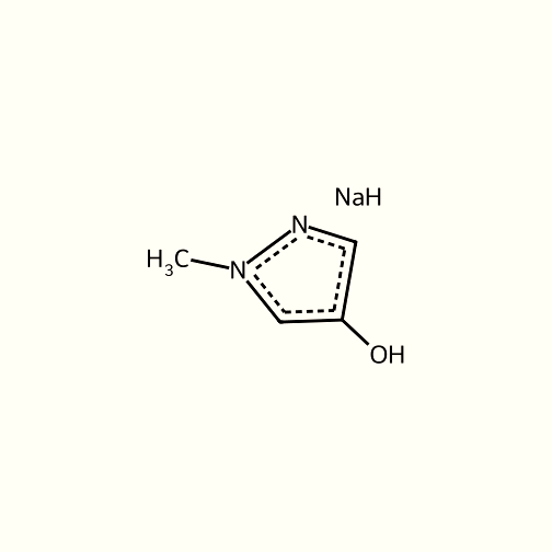 Cn1cc(O)cn1.[NaH]